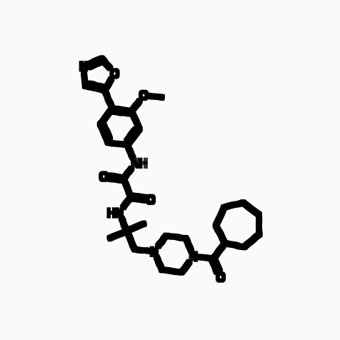 COc1cc(NC(=O)C(=O)NC(C)(C)CN2CCN(C(=O)C3CCCCCC3)CC2)ccc1-c1cnco1